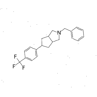 FC(F)(F)c1ccc(C2CC3CN(Cc4ccccc4)CC3C2)cc1